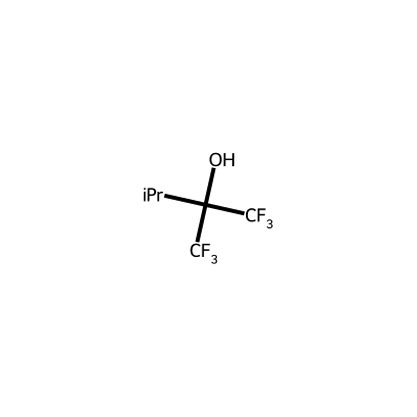 [CH2]C(C)C(O)(C(F)(F)F)C(F)(F)F